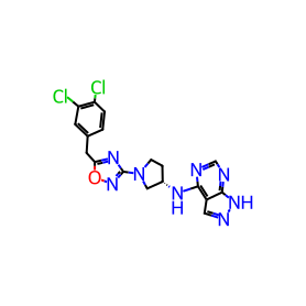 Clc1ccc(Cc2nc(N3CC[C@H](Nc4ncnc5[nH]ncc45)C3)no2)cc1Cl